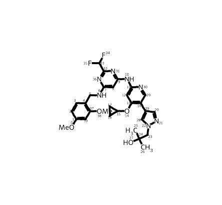 COc1ccc(CNc2cc(Nc3cc(OC4CC4)c(-c4cnn(CC(C)(C)O)c4)cn3)nc(C(F)F)n2)c(OC)c1